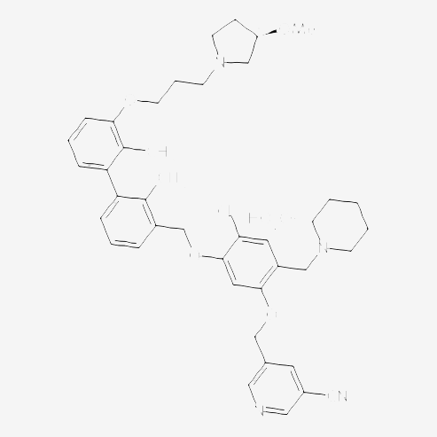 CO[C@@H]1CCN(CCCOc2cccc(-c3cccc(COc4cc(OCc5cncc(C#N)c5)c(CN5CCCC[C@H]5C(=O)O)cc4Cl)c3C)c2C)C1